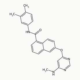 CNc1cc(Oc2ccc3c(C(=O)Nc4ccc(C)c(C)c4)cccc3c2)ncn1